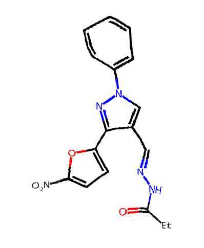 CCC(=O)NN=Cc1cn(-c2ccccc2)nc1-c1ccc([N+](=O)[O-])o1